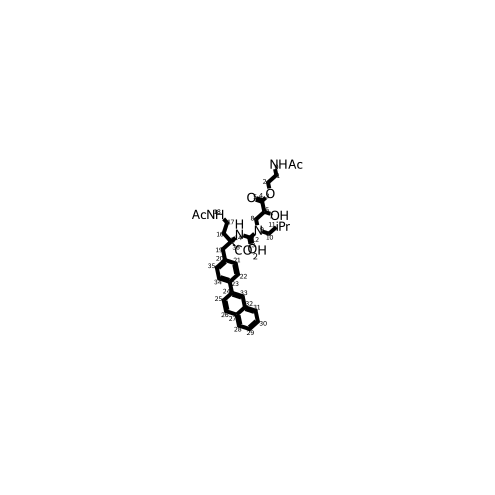 CC(=O)NCCOC(=O)C(O)CN(CC(C)C)C(=O)N[C@](CCNC(C)=O)(Cc1ccc(-c2ccc3ccccc3c2)cc1)C(=O)O